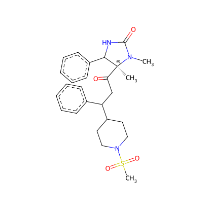 CN1C(=O)NC(c2ccccc2)[C@]1(C)C(=O)CC(c1ccccc1)C1CCN(S(C)(=O)=O)CC1